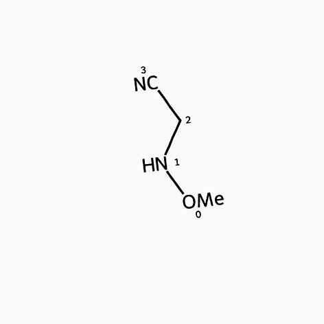 CONCC#N